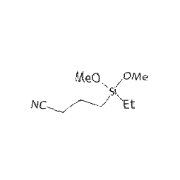 CC[Si](CCCC#N)(OC)OC